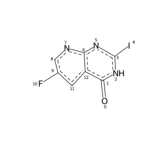 O=c1[nH]c(I)nc2ncc(F)cc12